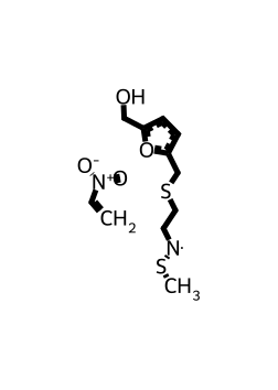 C=C[N+](=O)[O-].CS[N]CCSCc1ccc(CO)o1